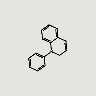 C1=Nc2ccccc2N(c2ccccc2)C1